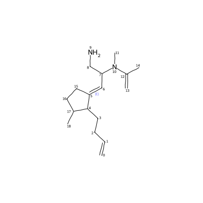 C=CCCC1/C(=C/C(CN)N(C)C(=C)C)CCC1C